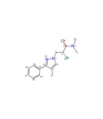 Cc1cn(CC(Br)C(=O)N(C)C)nc1-c1ccccc1